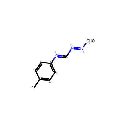 Cc1ccc(N=CN=NC=O)cc1